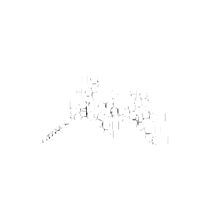 C=C=C=C=C=C=C=C=C=COC(CO)COCC(COC(COCC(O)CO)COCC(C)(COCC(CO)OCC(COCC(COCC(O)COCC(C)O)OCC(CO)OCCCCCCCCCC)OCC(CCOCC(C)O)OCCCCCCCCCC)COCC(CCOCCCCCCCCCC)OCC(C)O)OCC(O)COCC(O)COCC(C)O